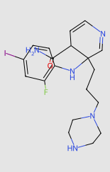 NC(=O)C1C=CN=CC1(CCCN1CCNCC1)Nc1ccc(I)cc1F